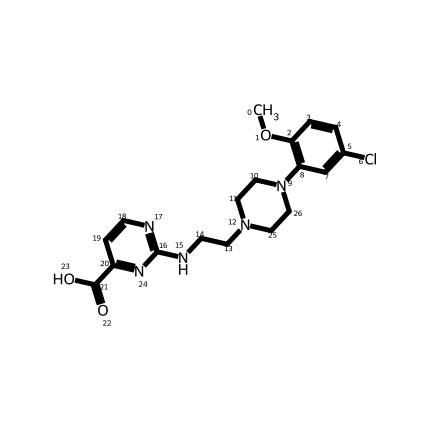 COc1ccc(Cl)cc1N1CCN(CCNc2nccc(C(=O)O)n2)CC1